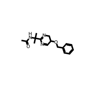 CC(=O)NC(C)(C)C1=NCC(OCc2ccccc2)C=N1